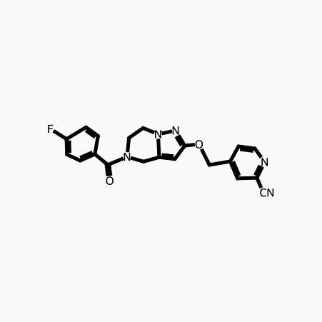 N#Cc1cc(COc2cc3n(n2)CCN(C(=O)c2ccc(F)cc2)C3)ccn1